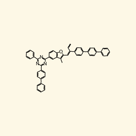 C=C/C(=C\c1oc2ccc(-c3nc(-c4ccccc4)nc(-c4ccc(-c5ccccc5)cc4)n3)cc2c1C)c1ccc(-c2ccc(-c3ccccc3)cc2)cc1